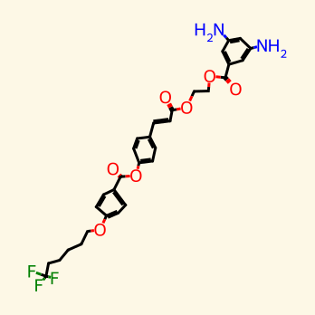 Nc1cc(N)cc(C(=O)OCCOC(=O)C=Cc2ccc(OC(=O)c3ccc(OCCCCCC(F)(F)F)cc3)cc2)c1